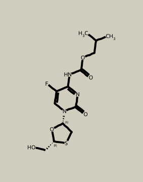 CC(C)COC(=O)Nc1nc(=O)n([C@@H]2CS[C@H](CO)O2)cc1F